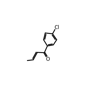 CC=CC(=O)c1ccc(Cl)cc1